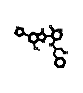 Cc1cc(-n2ccnc2)cc2[nH]c(-c3c(NC(CO)Cc4ccccc4)cc[nH]c3=O)nc12